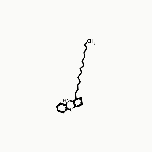 CCCCCCCCCCCCCCc1cccc2c1Nc1ccccc1O2